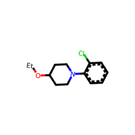 CCO[C]1CCN(c2ccccc2Cl)CC1